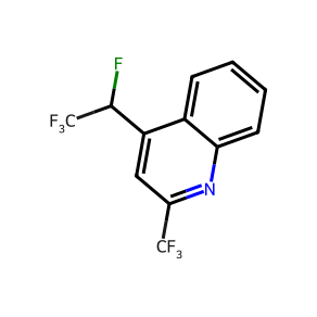 FC(c1cc(C(F)(F)F)nc2ccccc12)C(F)(F)F